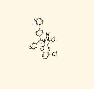 O=C1NN(C(c2ccc(-c3cccnc3)cc2)c2ccsc2)C(=O)C1Sc1ccccc1Cl